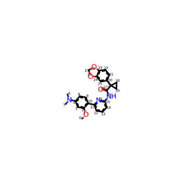 COc1cc(N(C)C)ccc1-c1cccc(NC(=O)C2(c3ccc4c(c3)OCO4)CC2)n1